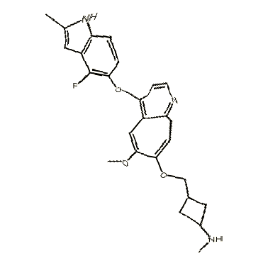 CNC1CC(COc2cc3nccc(Oc4ccc5[nH]c(C)cc5c4F)c3cc2OC)C1